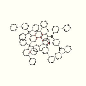 c1ccc(-c2cc(-c3ccccc3)cc(N3c4cc(-n5c6ccccc6c6ccccc65)ccc4B4c5cc(-c6ccccc6)ccc5N(c5ccccc5-c5ccccc5)c5cc(-c6cc([Si](c7ccccc7)(c7ccccc7)c7cccc(-c8ccccc8)c7)cc([Si](c7ccccc7)(c7cccc(-c8ccccc8)c7)c7cccc(-c8ccccc8)c7)c6)cc3c54)c2)cc1